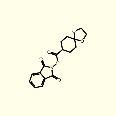 O=C(ON1C(=O)c2ccccc2C1=O)C1CCC2(CC1)OCCO2